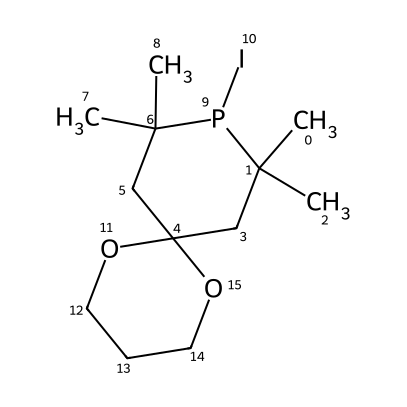 CC1(C)CC2(CC(C)(C)P1I)OCCCO2